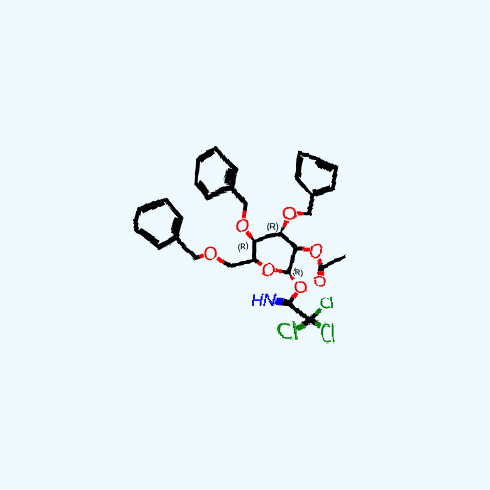 CC(=O)OC1[C@@H](OC(=N)C(Cl)(Cl)Cl)OC(COCc2ccccc2)[C@@H](OCc2ccccc2)[C@H]1OCc1ccccc1